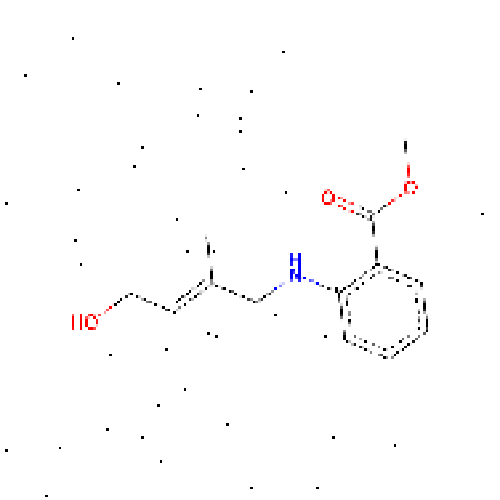 COC(=O)c1ccccc1NC/C(C)=C/CO